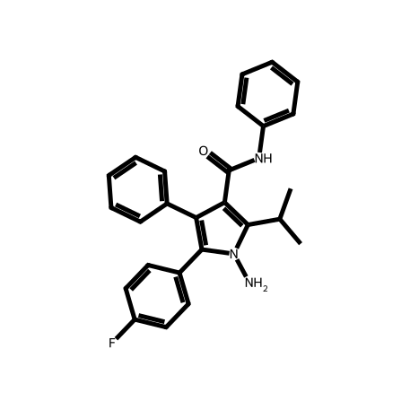 CC(C)c1c(C(=O)Nc2ccccc2)c(-c2ccccc2)c(-c2ccc(F)cc2)n1N